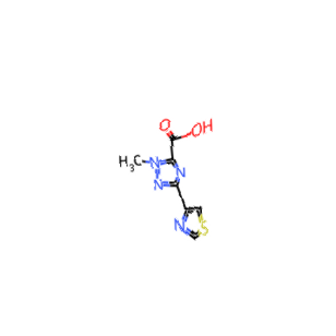 Cn1nc(-c2cscn2)nc1C(=O)O